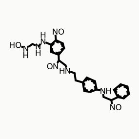 O=Nc1ccc(C(CNCCc2ccc(NCC(N=O)c3ccccc3)cc2)N=O)cc1NNCNO